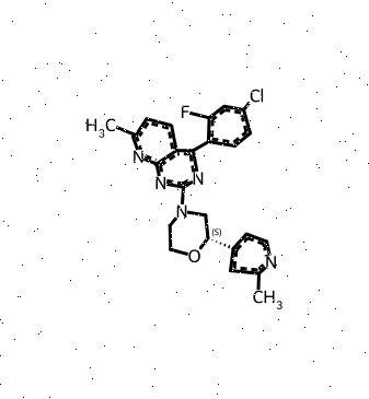 Cc1cc([C@H]2CN(c3nc(-c4ccc(Cl)cc4F)c4ccc(C)nc4n3)CCO2)ccn1